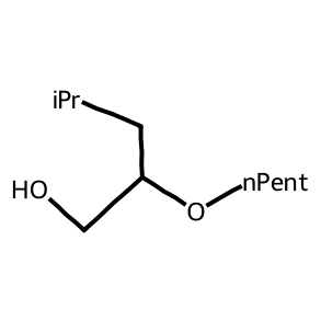 CCCCCOC(CO)CC(C)C